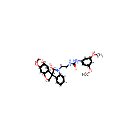 COc1cc(NC(=O)NCCN2C(=O)C3(COc4cc5c(cc43)OCO5)c3ccccc32)cc(OC)c1